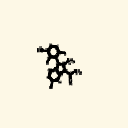 Cc1cnn2c(-c3c(C)ccc(O)c3C)c(N)c(C(N)=O)c2c1